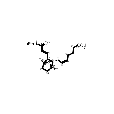 CCCCCC(=O)/C=C/[C@H]1[C@H](C/C=C\CCCC(=O)O)[C@@H]2CC[C@H]1S2